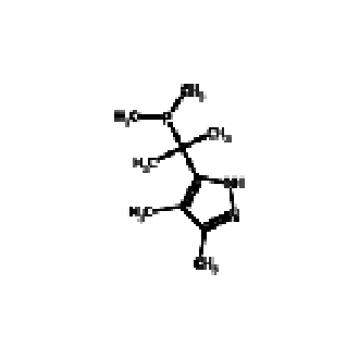 Cc1n[nH]c(C(C)(C)P(C)C)c1C